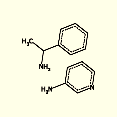 CC(N)c1ccccc1.Nc1cccnc1